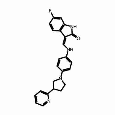 O=C1Nc2cc(F)ccc2/C1=C/Nc1ccc(N2CCC(c3ccccn3)C2)cc1